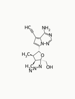 C#Cc1cc([C@@H]2O[C@@](CO)(N=[N+]=[N-])[C@@H](C)[C@H]2C)n2ncnc(N)c12